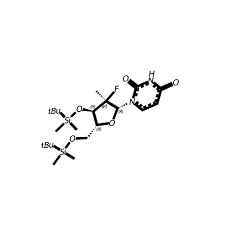 CC(C)(C)[Si](C)(C)OC[C@H]1O[C@@H](n2ccc(=O)[nH]c2=O)[C@](C)(F)[C@@H]1O[Si](C)(C)C(C)(C)C